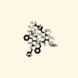 CC(O[C@@H](C[C@H](Cc1ccccc1)NC(=O)[C@@H](NC(=O)N(C)Cc1csc(C(C)C)n1)C(C)C)[C@H](Cc1ccccc1)NC(=O)OCc1cncs1)OP(=O)(O)O.[NaH].[NaH]